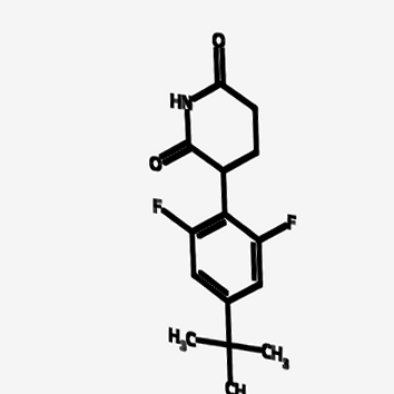 CC(C)(C)c1cc(F)c(C2CCC(=O)NC2=O)c(F)c1